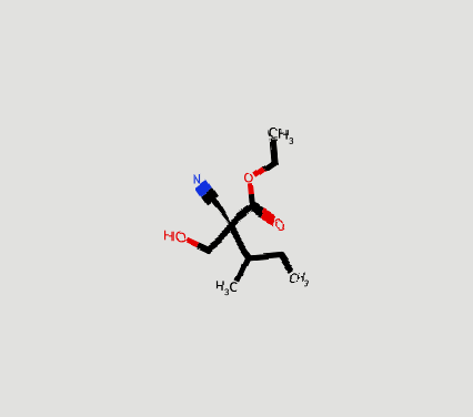 CCOC(=O)[C@@](C#N)(CO)C(C)CC